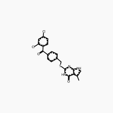 Cc1c[nH]c2nc(SCc3ccc(C(=O)c4ccc(Cl)cc4Cl)cc3)[nH]c(=O)c12